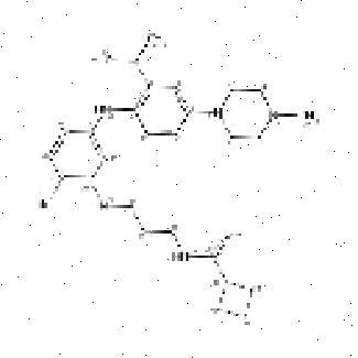 CC(C)c1cc(N2CCN(C)CC2)ccc1Nc1ncc(Br)c(NCCCNC(=O)C2CCC2)n1